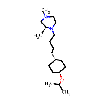 CC(C)O[C@H]1CC[C@H](CCCCN2CCN(C)C[C@@H]2C)CC1